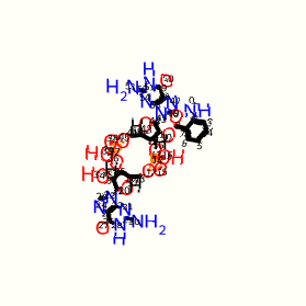 CNc1ccccc1C(=O)O[C@@H]1[C@@H]2OP(=O)(O)OC[C@H]3O[C@@H](n4cnc5c(=O)[nH]c(N)nc54)[C@H](O)[C@@H]3OP(=O)(O)OC[C@H]2O[C@H]1n1cnc2c(=O)[nH]c(N)nc21